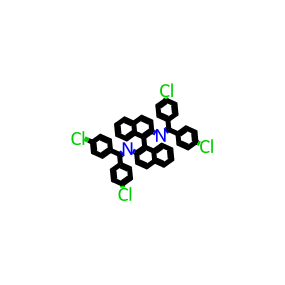 Clc1ccc(C(=Nc2ccc3ccccc3c2-c2c(N=C(c3ccc(Cl)cc3)c3ccc(Cl)cc3)ccc3ccccc23)c2ccc(Cl)cc2)cc1